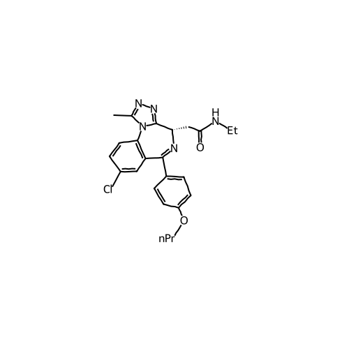 CCCOc1ccc(C2=N[C@@H](CC(=O)NCC)c3nnc(C)n3-c3ccc(Cl)cc32)cc1